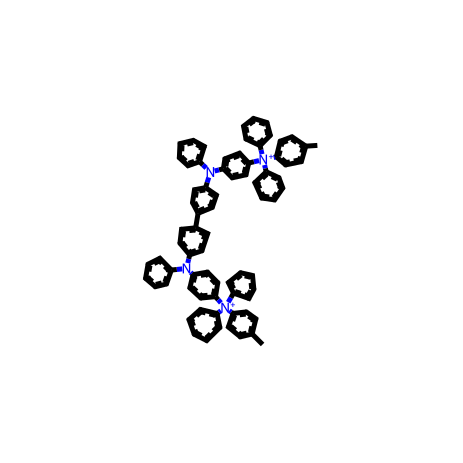 Cc1ccc([N+](c2ccccc2)(c2ccccc2)c2ccc(N(c3ccccc3)c3ccc(-c4ccc(N(c5ccccc5)c5ccc([N+](c6ccccc6)(c6ccccc6)c6ccc(C)cc6)cc5)cc4)cc3)cc2)cc1